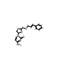 Nc1ccn(C2COC(COCC=Cc3ccccc3)O2)c(=O)n1